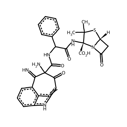 CC1(C)S[C@@H]2CC(=O)N2[C@@]1(NC(=O)C(NC(=O)C1(N)C(=N)c2cccc3[nH]c(nc23)C1=O)c1ccccc1)C(=O)O